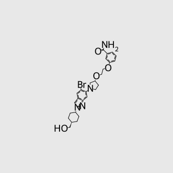 NC(=O)c1cccc(OCCO[C@@H]2CCN(c3cc4nn([C@H]5CC[C@H](CO)CC5)cc4cc3Br)C2)c1